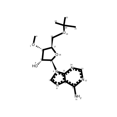 CO[C@H]1[C@@H](O)[C@H](n2cnc3c(N)ncnc32)O[C@@H]1COC(C)(C)C